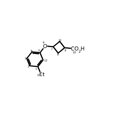 CCc1cccc(OC2CC(C(=O)O)C2)c1